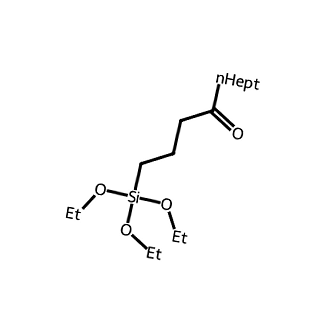 CCCCCCCC(=O)CCC[Si](OCC)(OCC)OCC